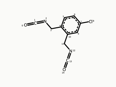 O=C=NCc1ccc(Cl)cc1CN=C=O